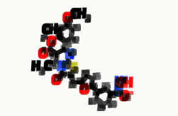 CCOC(=O)C1=C(C)n2c(s/c(=C\c3ccc(-c4cccc([NH+]([O-])O)c4)o3)c2=O)=NC1c1ccc(OC)cc1